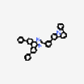 c1ccc(-c2ccc3c(c2)c2cc(-c4ccccc4)ccc2c2nc(-c4cccc(-c5ccc6c(c5)c5cccc7c8ccccc8n6c75)c4)cnc32)cc1